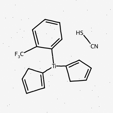 FC(F)(F)c1cccc[c]1[Ti]([C]1=CC=CC1)[C]1=CC=CC1.N#CS